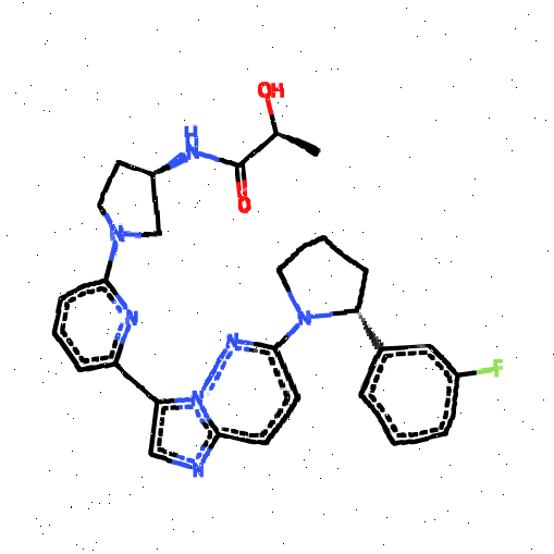 C[C@H](O)C(=O)N[C@@H]1CCN(c2cccc(-c3cnc4ccc(N5CCC[C@@H]5c5cccc(F)c5)nn34)n2)C1